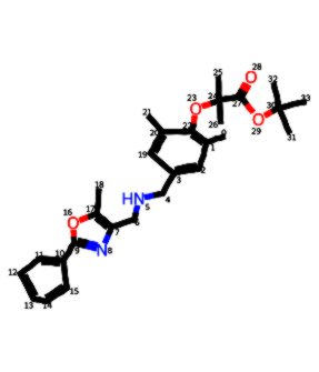 Cc1cc(CNCc2nc(-c3ccccc3)oc2C)cc(C)c1OC(C)(C)C(=O)OC(C)(C)C